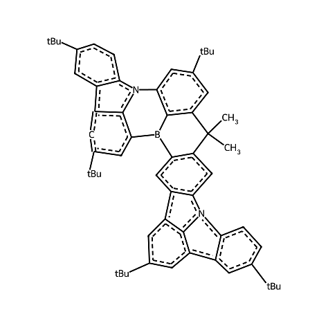 CC(C)(C)c1cc2c3c(c1)C(C)(C)c1cc4c(cc1B3c1cc(C(C)(C)C)cc3c5cc(C(C)(C)C)ccc5n-2c13)c1cc(C(C)(C)C)cc2c3cc(C(C)(C)C)ccc3n4c21